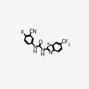 N#Cc1cc(NC(=O)Nc2nc3ccc(C(F)(F)F)cc3s2)ccc1F